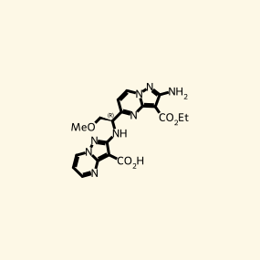 CCOC(=O)c1c(N)nn2ccc([C@H](COC)Nc3nn4cccnc4c3C(=O)O)nc12